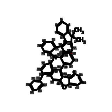 CC1(C)c2ccccc2-c2c(-c3ccccc3N(c3ccc(-c4ccccc4)cc3)c3ccccc3-c3cccc4oc5ccccc5c34)cccc21